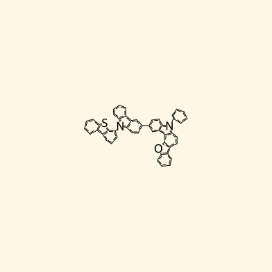 c1ccc(-n2c3ccc(-c4ccc5c(c4)c4ccccc4n5-c4cccc5c4sc4ccccc45)cc3c3c4oc5ccccc5c4ccc32)cc1